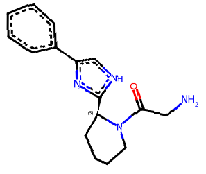 NCC(=O)N1CCCC[C@H]1c1nc(-c2ccccc2)c[nH]1